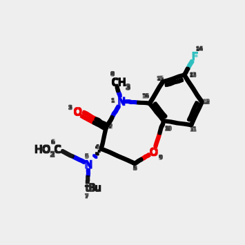 CN1C(=O)[C@@H](N(C(=O)O)C(C)(C)C)COc2ccc(F)cc21